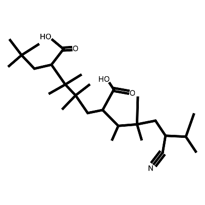 CC(C)C(C#N)CC(C)(C)C(C)C(CC(C)(C)C(C)(C)C(CC(C)(C)C)C(=O)O)C(=O)O